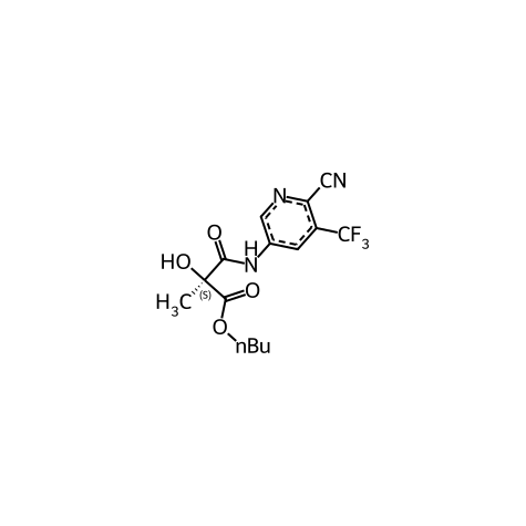 CCCCOC(=O)[C@@](C)(O)C(=O)Nc1cnc(C#N)c(C(F)(F)F)c1